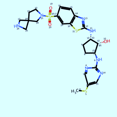 CSc1cnc(N[C@H]2CC[C@H](Nc3nc4ccc(S(=O)(=O)N5CCC6(CNC6)C5)cc4s3)[C@@H]2O)nc1